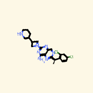 C[C@@H](c1ncc2nc(N3CC(C4CCCNC4)C3)nc(N)c2n1)c1ccc(Cl)cc1Cl